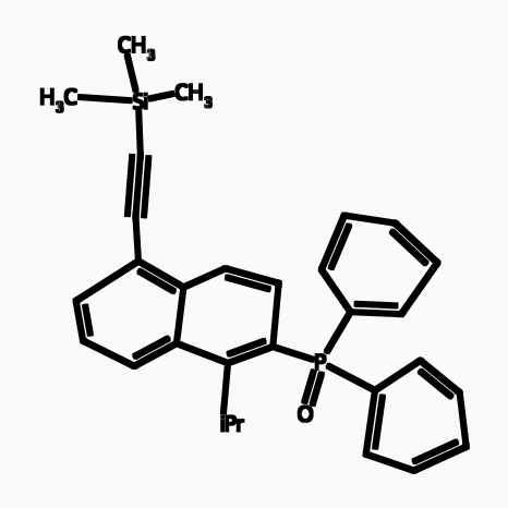 CC(C)c1c(P(=O)(c2ccccc2)c2ccccc2)ccc2c(C#C[Si](C)(C)C)cccc12